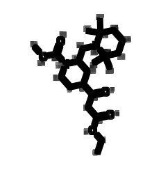 CCOC(=O)CC(=O)C1CCN(C(=O)OC)C(CN2C(C)(C)CCCC2(C)C)C1